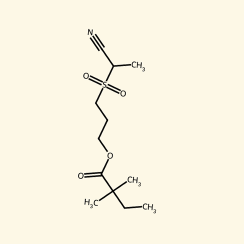 CCC(C)(C)C(=O)OCCCS(=O)(=O)C(C)C#N